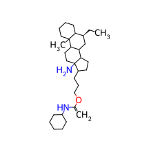 C=C(NC1CCCCC1)OCCCC1CCC2C3C[C@H](CC)C4CCCCC4(C)C3CCC12N